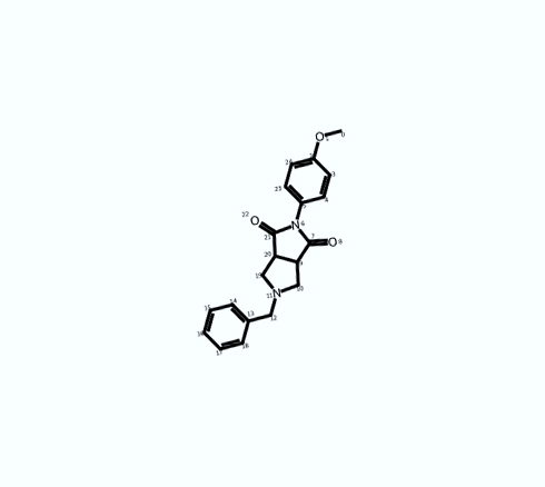 COc1ccc(N2C(=O)C3CN(Cc4ccccc4)CC3C2=O)cc1